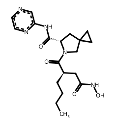 CCCC[C@H](CC(=O)NO)C(=O)N1CC2(CC2)C[C@H]1C(=O)Nc1cnccn1